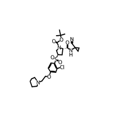 CC(C)(C)OC(=O)N1C[C@H](S(=O)(=O)c2ccc(OCCN3CCCCC3)cc2Cl)C[C@H]1C(=O)NC1(C#N)CC1